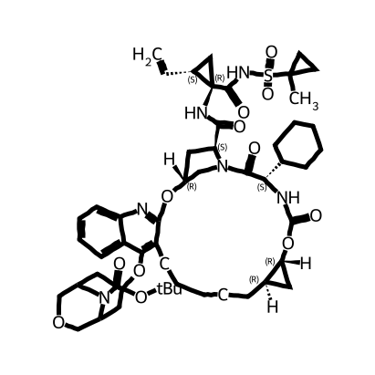 C=C[C@@H]1C[C@]1(NC(=O)[C@@H]1C[C@@H]2CN1C(=O)[C@H](C1CCCCC1)NC(=O)O[C@@H]1C[C@H]1CCCCCc1c(nc3ccccc3c1OC1CC3COCC(C1)N3C(=O)OC(C)(C)C)O2)C(=O)NS(=O)(=O)C1(C)CC1